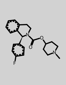 CN1CCC(OC(=O)N2CCc3ccccc3[C@@H]2c2ccc(F)cc2)CC1